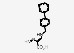 N=N/C(=C\NCc1ccc(-c2ccccc2)cc1)C(=O)O